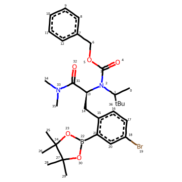 CC(N(C(=O)OCc1ccccc1)[C@@H](Cc1ccc(Br)cc1B1OC(C)(C)C(C)(C)O1)C(=O)N(C)C)C(C)(C)C